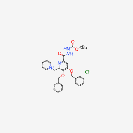 CC(C)(C)OC(=O)NNC(=O)c1cc(OCc2ccccc2)c(OCc2ccccc2)c(C[n+]2ccccc2)n1.[Cl-]